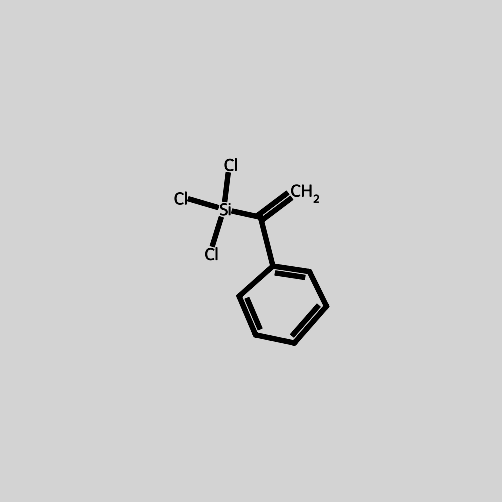 C=C(c1ccccc1)[Si](Cl)(Cl)Cl